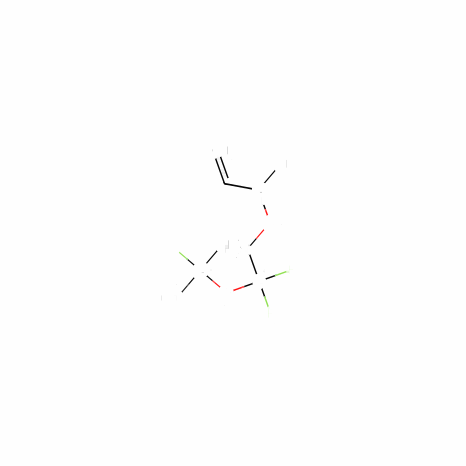 C=C[SiH](C)O[SiH2][Si](F)(F)O[Si](C)(F)CCC